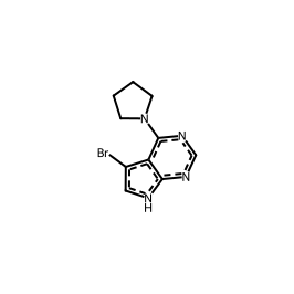 Brc1c[nH]c2ncnc(N3CCCC3)c12